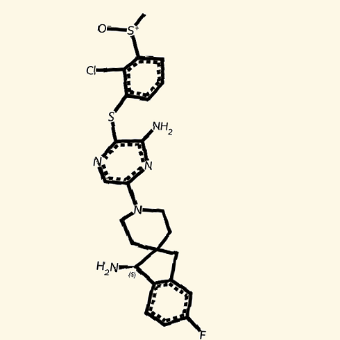 C[S+]([O-])c1cccc(Sc2ncc(N3CCC4(CC3)Cc3cc(F)ccc3[C@H]4N)nc2N)c1Cl